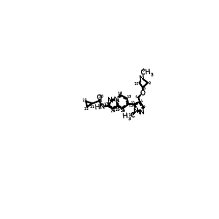 CN1CC(OCc2cnn(C)c2-c2ccn3nc(NC(=O)C4CC4)cc3c2)C1